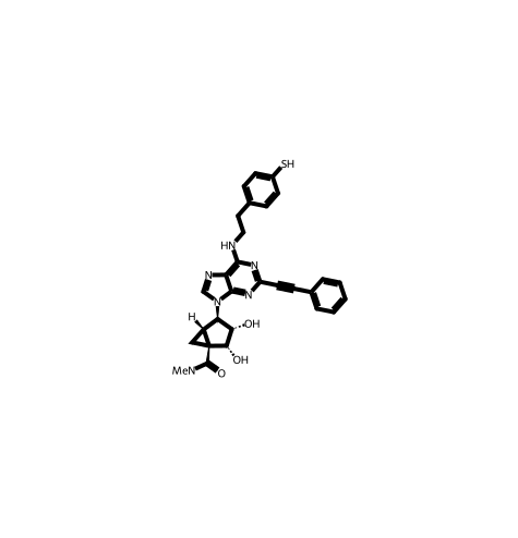 CNC(=O)[C@@]12C[C@@H]1[C@@H](n1cnc3c(NCCc4ccc(S)cc4)nc(C#Cc4ccccc4)nc31)[C@H](O)[C@@H]2O